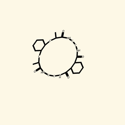 CC1CC2CCCCC2CC(C)C(=O)NCCNC(=O)C2CCCCC2C(=O)NCCNC1=O